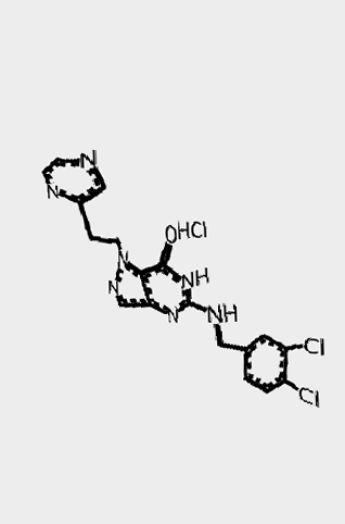 Cl.O=c1[nH]c(NCc2ccc(Cl)c(Cl)c2)nc2cnn(CCc3cnccn3)c12